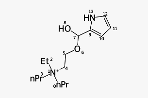 CCC[N+](CC)(CCC)CCOC(O)c1ccc[nH]1